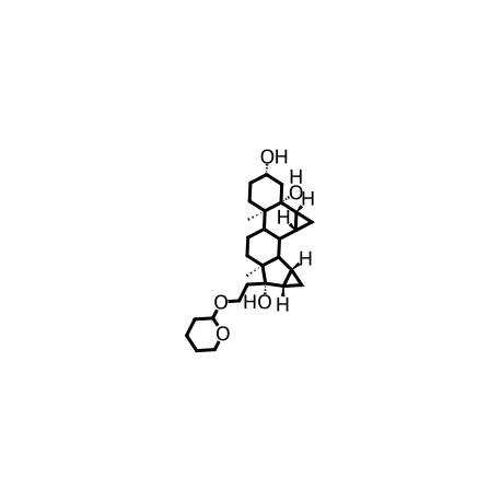 C[C@]12CCC3C(C1[C@@H]1C[C@@H]1[C@@]2(O)CCOC1CCCCO1)[C@H]1C[C@H]1[C@]1(O)C[C@@H](O)CC[C@]31C